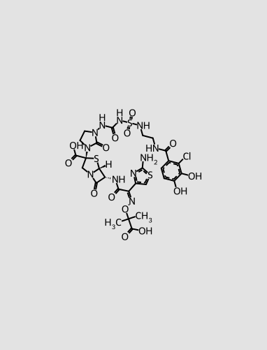 CC(C)(O/N=C(\C(=O)N[C@@H]1C(=O)N2C[C@@](C(=O)O)(N3CCN(NC(=O)NS(=O)(=O)NCCNC(=O)c4ccc(O)c(O)c4Cl)C3=O)S[C@H]12)c1csc(N)n1)C(=O)O